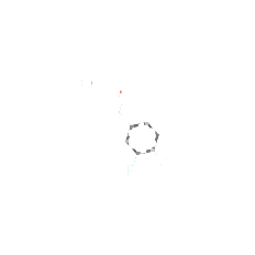 O=COCc1ccc(Cl)c(F)c1